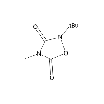 Cn1c(=O)on(C(C)(C)C)c1=O